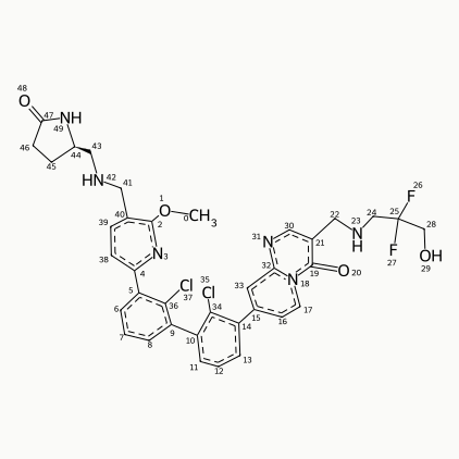 COc1nc(-c2cccc(-c3cccc(-c4ccn5c(=O)c(CNCC(F)(F)CO)cnc5c4)c3Cl)c2Cl)ccc1CNC[C@H]1CCC(=O)N1